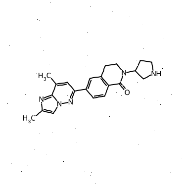 Cc1cn2nc(-c3ccc4c(c3)CCN(C3CCNC3)C4=O)cc(C)c2n1